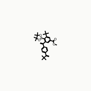 C=C(c1ccc(C(=C)C(C)(C)C)cc1)c1cc(C(=O)OC)cc(C(C)(C)C)c1B1OC(C)(C)C(C)(C)O1